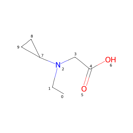 CCN(CC(=O)O)C1CC1